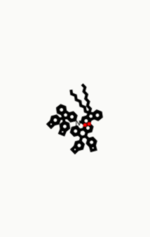 CCCCCCCCC1(CCCCCCCC)c2ccccc2-c2ccc(N(c3ccc4c(c3)C(c3ccc5c(c3)CC5)(c3ccc5c(c3)CC5)c3ccccc3-4)c3cccc4c3-c3ccccc3C(c3ccc5c(c3)CC5)C4c3ccc4c(c3)CC4)cc21